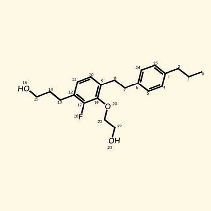 CCCc1ccc(CCc2ccc(CCCO)c(F)c2OCCO)cc1